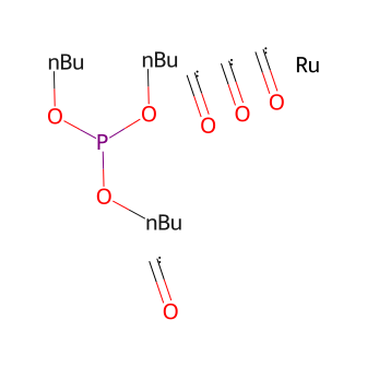 CCCCOP(OCCCC)OCCCC.[C]=O.[C]=O.[C]=O.[C]=O.[Ru]